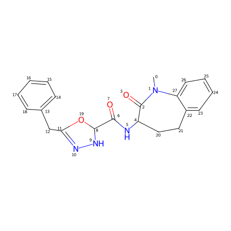 CN1C(=O)C(NC(=O)C2NN=C(Cc3ccccc3)O2)CCc2ccccc21